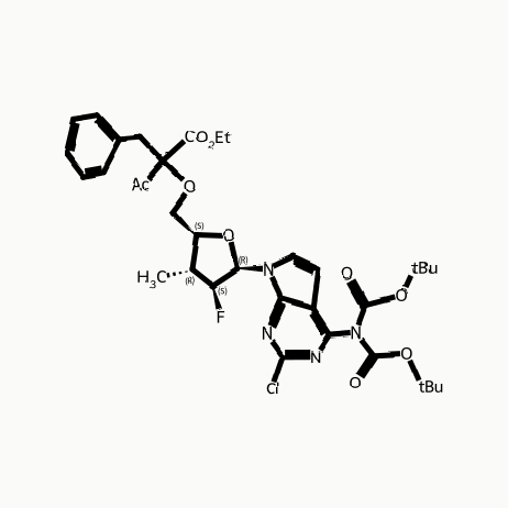 CCOC(=O)C(Cc1ccccc1)(OC[C@H]1O[C@@H](n2ccc3c(N(C(=O)OC(C)(C)C)C(=O)OC(C)(C)C)nc(Cl)nc32)[C@@H](F)[C@@H]1C)C(C)=O